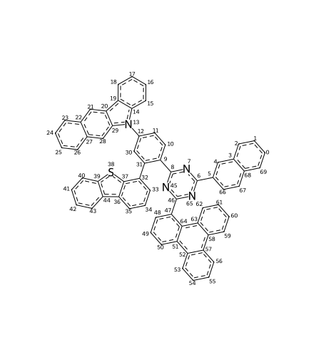 c1ccc2cc(-c3nc(-c4ccc(-n5c6ccccc6c6cc7ccccc7cc65)cc4-c4cccc5c4sc4ccccc45)nc(-c4cccc5c6ccccc6c6ccccc6c45)n3)ccc2c1